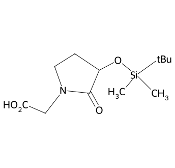 CC(C)(C)[Si](C)(C)OC1CCN(CC(=O)O)C1=O